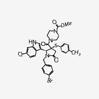 COC(=O)N1CCN(C(=O)[C@]2(Sc3ccc(C)cc3)CC(=O)N(Cc3ccc(Br)cc3)[C@H]2c2c[nH]c3cc(Cl)ccc23)CC1